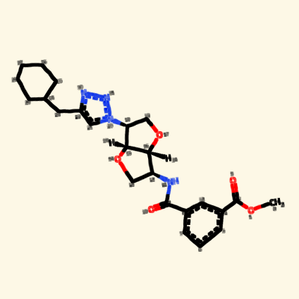 COC(=O)c1cccc(C(=O)N[C@H]2CO[C@H]3[C@@H]2OC[C@@H]3n2cc(CC3CCCCC3)nn2)c1